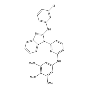 COc1cc(Nc2nccc(-n3c(Nc4cccc(Cl)c4)nc4ccccc43)n2)cc(OC)c1OC